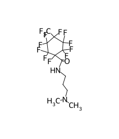 CN(C)CCCNC(=O)C1(F)C(F)(F)C(F)(F)C(F)(C(F)(F)F)C(F)(F)C1(F)F